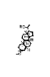 CO[C@H]1CC[C@@]2(C)[C@@H](CC[C@@H]3[C@@H]2CC[C@]2(C)[C@@H](C(C)O)CC[C@@H]32)C1